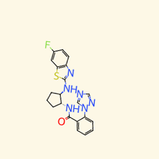 O=C(N[C@@H]1CCC[C@H]1Nc1nc2ccc(F)cc2s1)c1ccccc1-n1cncn1